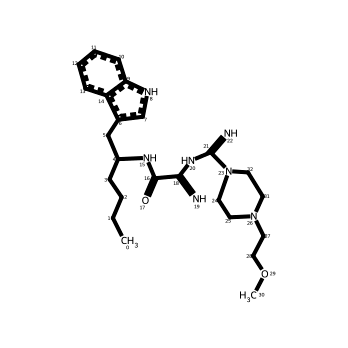 CCCCC(Cc1c[nH]c2ccccc12)NC(=O)C(=N)NC(=N)N1CCN(CCOC)CC1